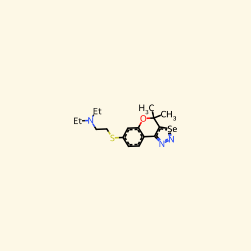 CCN(CC)CCSc1ccc2c(c1)OC(C)(C)c1[se]nnc1-2